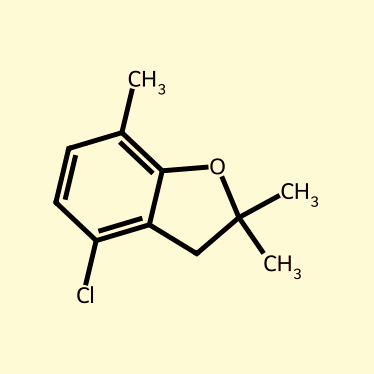 Cc1ccc(Cl)c2c1OC(C)(C)C2